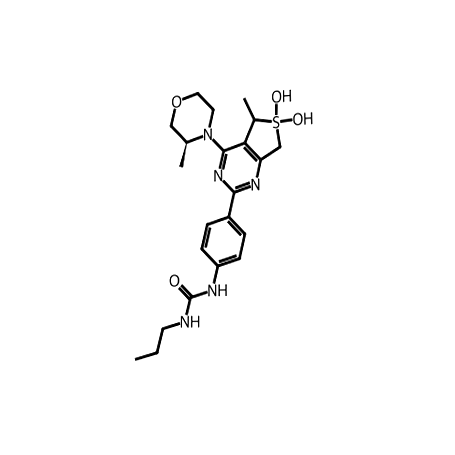 CCCNC(=O)Nc1ccc(-c2nc3c(c(N4CCOC[C@@H]4C)n2)C(C)S(O)(O)C3)cc1